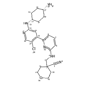 N#CC1(CNc2cccc(-c3cc(N[C@H]4CC[C@@H](N)CC4)ncc3Cl)n2)CCOCC1